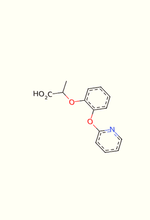 CC(Oc1ccccc1Oc1ccccn1)C(=O)O